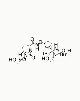 CC(C)(C)N(C(=O)O)C(NC(=O)O)(N1CC[C@H](ONC(=O)[C@@H]2CC[C@@H]3CN2C(=O)N3OS(=O)(=O)O)C1)C(C)(C)C